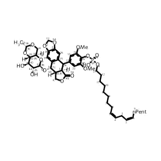 CCCCC/C=C\C/C=C\CCCCCCCCOP(=O)(O)Oc1c(OC)cc(C2c3cc4c(cc3[C@@H](O[C@@H]3O[C@@H]5CO[C@@H](C)O[C@H]5[C@H](O)[C@H]3O)[C@H]3COC(=O)[C@H]23)OCO4)cc1OC